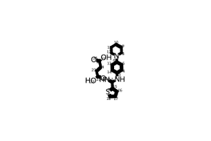 N=C(Nc1ccc(N2CC=CCC2)cc1)c1cccs1.O=C(O)/C=C/C(=O)O